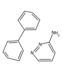 Nc1cccnn1.c1ccc(-c2ccccc2)cc1